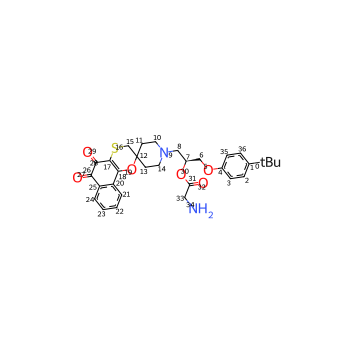 CC(C)(C)c1ccc(OC[C@H](CN2CCC3(CC2)CSC2=C(O3)c3ccccc3C(=O)C2=O)OC(=O)CN)cc1